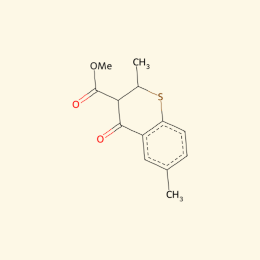 COC(=O)C1C(=O)c2cc(C)ccc2SC1C